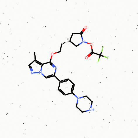 Cc1cnn2cc(-c3ccc(N4CCNCC4)cc3)nc(OCC[C@@H]3CC(=O)N(OC(=O)C(F)(F)F)C3)c12